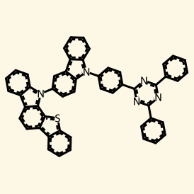 c1ccc(-c2nc(-c3ccccc3)nc(-c3ccc(-n4c5ccccc5c5cc(-n6c7ccccc7c7ccc8c9ccccc9sc8c76)ccc54)cc3)n2)cc1